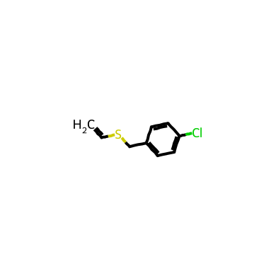 C=CSCc1ccc(Cl)cc1